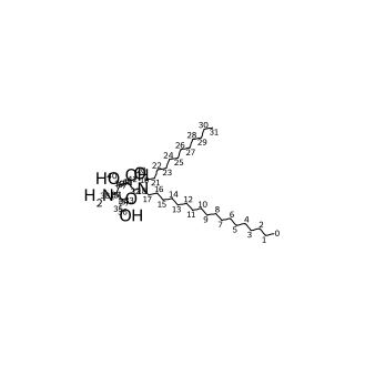 CCCCCCCCCCCCCCCCCCN(C(=O)CCCCCCCCCCC)C1O[C@H](CO)[C@@H](N)[C@H](O)[C@H]1O